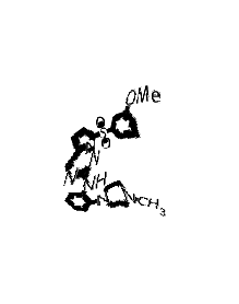 COc1cccc(S(=O)(=O)c2ccc3cnc(Nc4ccccc4N4CCN(C)CC4)nn23)c1